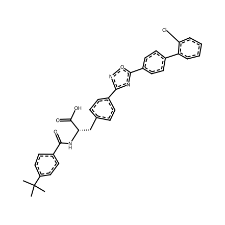 CC(C)(C)c1ccc(C(=O)N[C@@H](Cc2ccc(-c3noc(-c4ccc(-c5ccccc5Cl)cc4)n3)cc2)C(=O)O)cc1